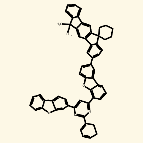 CC1(C)c2ccccc2-c2cc3c(cc21)-c1cc(-c2ccc4oc5c(-c6cc(-c7ccc8c(c7)oc7ccccc78)nc(C7=CC=CCC7)n6)cccc5c4c2)ccc1C31CCCCC1